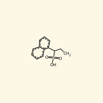 [CH2]CC(c1cccc2ccccc12)S(=O)(=O)O